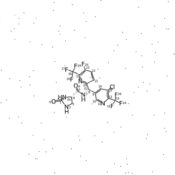 O=C1NC[C@@H](C(=O)N[C@@H](c2cnc(C(F)(F)F)c(Cl)c2)c2ccc(F)c(C(F)(F)F)n2)N1